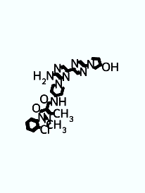 Cc1c(C(=O)NC2CCN(c3nc(-c4cnc(N5CCC(O)C5)cn4)cnc3N)CC2)c(=O)n(-c2ccccc2Cl)n1C